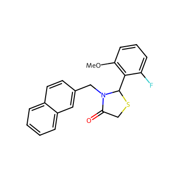 COc1cccc(F)c1C1SCC(=O)N1Cc1ccc2ccccc2c1